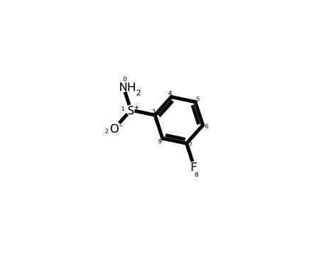 N[S+]([O-])c1cccc(F)c1